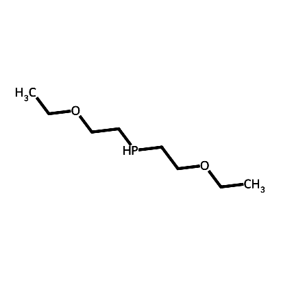 CCOCCPCCOCC